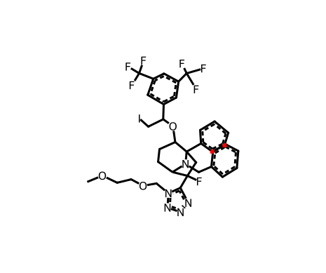 COCCOCn1nnnc1C1(F)CC2(c3ccccc3)C(OC(CI)c3cc(C(F)(F)F)cc(C(F)(F)F)c3)CCC1N2Cc1ccccc1